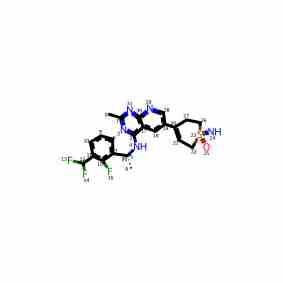 Cc1nc(N[C@H](C)c2cccc(C(F)F)c2F)c2cc(C3=CCS(=N)(=O)CC3)cnc2n1